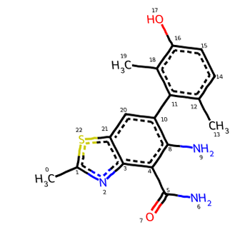 Cc1nc2c(C(N)=O)c(N)c(-c3c(C)ccc(O)c3C)cc2s1